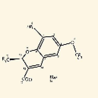 CCCc1cc(OC(F)(F)F)cc2c1O[C@H](C(F)(F)F)C(C(=O)[O-])=C2.[Na+]